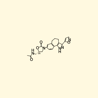 CC(=O)NC[C@H]1CN(c2ccc3c(c2)CCCc2c(-c4ccno4)n[nH]c2-3)C(=O)O1